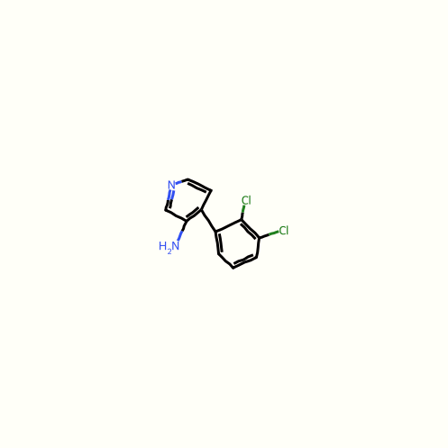 Nc1cnccc1-c1cccc(Cl)c1Cl